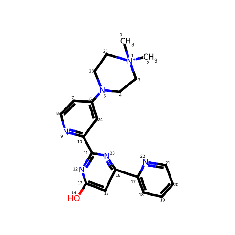 C[N+]1(C)CCN(c2ccnc(-c3nc(O)cc(-c4ccccn4)n3)c2)CC1